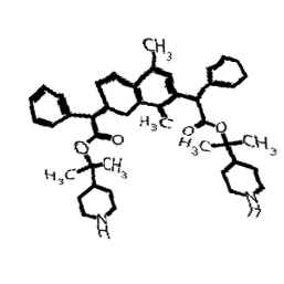 CC1C=C(C(C(=O)OC(C)(C)C2CCNCC2)C2=CCCC=C2)C(C)C2=C1CCC(C(C(=O)OC(C)(C)C1CCNCC1)c1ccccc1)C2